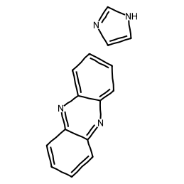 c1c[nH]cn1.c1ccc2nc3ccccc3nc2c1